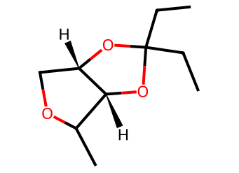 CCC1(CC)O[C@H]2COC(C)[C@H]2O1